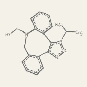 CC(C)n1nnc2c1-c1ccccc1N(SS)Cc1ccccc1-2